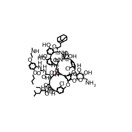 CCCCOc1ccc(OCCNC)cc1NC(=O)NC(=O)C[C@@H]1CC(=O)[C@H](NC(=O)[C@H](CC)CC(C)C)[C@H](O)c2ccc(c(Cl)c2)Oc2cc3cc(c2O[C@@H]2O[C@H](CN)[C@@H](O)[C@H](O)[C@H]2O)Oc2ccc(cc2Cl)[C@@H](O)[C@@H]2NC(=O)[C@H](CC(=O)[C@@H]3NC1=O)c1ccc(O)c(c1)-c1c(O)cc(O)cc1[C@@H](C(=O)CC1C3CC4CC(C3)CC1C4)NC2=O